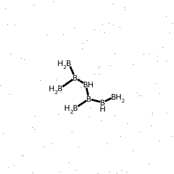 BBB(B)BB(B)B